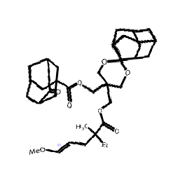 CCC(C)(C/C=C/OC)C(=O)OCC1(COC(=O)C23CC4CC(C2)C(=O)C(C4)C3)COC2(OC1)C1CC3CC(C1)CC2C3